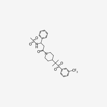 CC(C)(C1CCN(C(=O)CC(NS(C)(=O)=O)c2ccccc2)CC1)S(=O)(=O)c1cccc(C(F)(F)F)c1